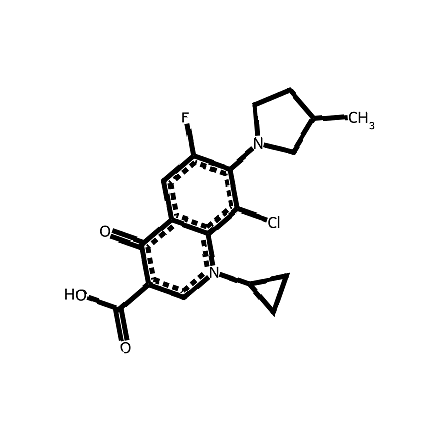 CC1CCN(c2c(F)cc3c(=O)c(C(=O)O)cn(C4CC4)c3c2Cl)C1